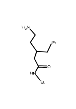 CCNC(=O)CC(CCN)CC(C)C